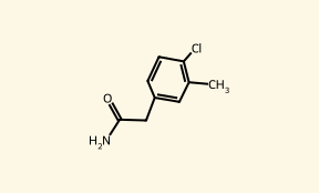 Cc1cc(CC(N)=O)ccc1Cl